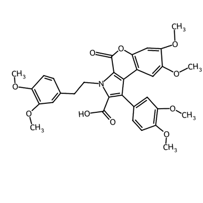 COc1ccc(CCn2c(C(=O)O)c(-c3ccc(OC)c(OC)c3)c3c4cc(OC)c(OC)cc4oc(=O)c32)cc1OC